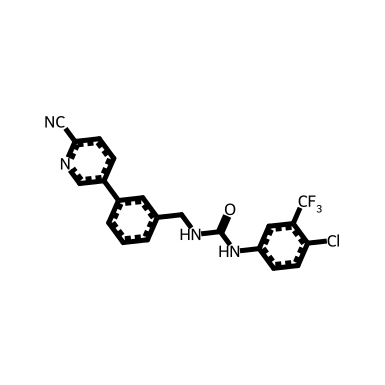 N#Cc1ccc(-c2cccc(CNC(=O)Nc3ccc(Cl)c(C(F)(F)F)c3)c2)cn1